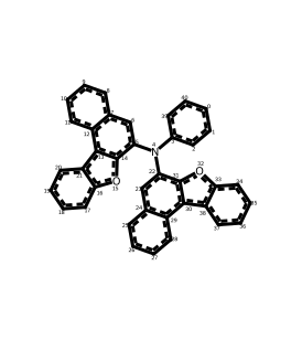 c1ccc(N(c2cc3ccccc3c3c2oc2ccccc23)c2cc3ccccc3c3c2oc2ccccc23)cc1